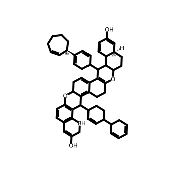 OC1=C[C@H]2CCC3OC4=C(C5=CCC6Oc7ccc8c(c7C(C7C=CC(C9C=CC=CC9)CC7)C6=C5CC4)BCC(O)=C8)C(C4C=CC([C@H]5C=CCCCC5)=CC4)C3C2C=C1